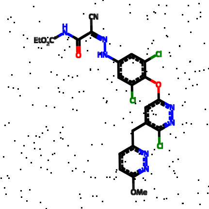 CCOC(=O)NC(=O)C(C#N)=NNc1cc(Cl)c(Oc2cc(Cc3ccc(OC)nn3)c(Cl)nn2)c(Cl)c1